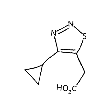 O=C(O)Cc1snnc1C1CC1